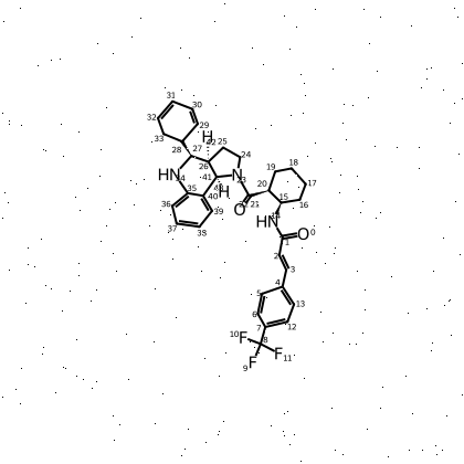 O=C(/C=C/c1ccc(C(F)(F)F)cc1)N[C@@H]1CCCC[C@@H]1C(=O)N1CC[C@@H]2[C@H](C3C=CC=CC3)Nc3ccccc3[C@@H]21